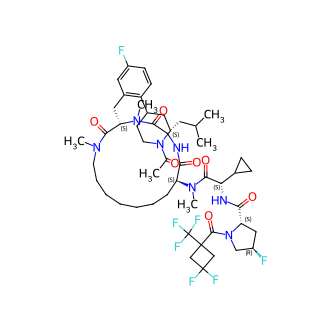 CC(=O)N1CCC(c2ccc(F)cc2C[C@H]2C(=O)N(C)CCCCCCC[C@H](N(C)C(=O)[C@@H](NC(=O)[C@@H]3C[C@@H](F)CN3C(=O)C3(C(F)(F)F)CC(F)(F)C3)C3CC3)C(=O)N[C@@H](CC(C)C)C(=O)N2C)CC1